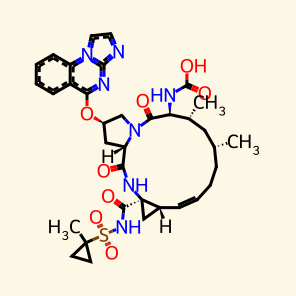 C[C@@H]1CC/C=C\[C@@H]2C[C@@]2(C(=O)NS(=O)(=O)C2(C)CC2)NC(=O)[C@@H]2C[C@@H](Oc3nc4nccn4c4ccccc34)CN2C(=O)[C@@H](NC(=O)O)[C@H](C)C1